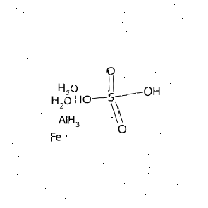 O.O.O=S(=O)(O)O.[AlH3].[Fe]